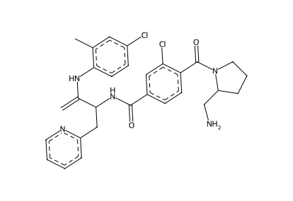 C=C(Nc1ccc(Cl)cc1C)C(Cc1ccccn1)NC(=O)c1ccc(C(=O)N2CCCC2CN)c(Cl)c1